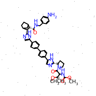 COC(=O)N[C@H](C(=O)N1CCC[C@H]1c1ncc(-c2ccc(-c3ccc(-c4cnc(C5C6CCC(C6)[C@@H]5C(=O)NCc5ccc(N)cc5)[nH]4)cc3)cc2)[nH]1)[C@@H](C)OC